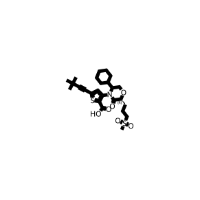 CC(C)(C)C#Cc1cc(N2C(=O)[C@@H](CCCS(C)(=O)=O)OCC2C2CCCCC2)c(C(=O)O)s1